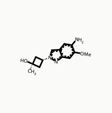 COc1cc2nn([C@H]3C[C@](C)(O)C3)cc2cc1N